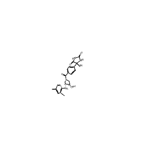 Cc1cnc(N[C@@H]2CN(C(=O)c3ccc(C4(C(C)C)NC(=O)NC4=O)cc3)C[C@H]2O)c(C)c1